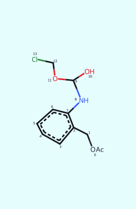 CC(=O)OCc1ccccc1NC(O)OCCl